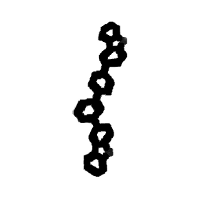 c1cc(-c2ccc(-c3ccc4oc5ccccc5c4c3)cc2)cc(-c2ccc3oc4ccccc4c3c2)c1